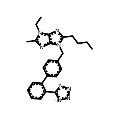 CCCCc1nc2c(nc(C)n2CC)n1Cc1ccc(-c2ccccc2-c2nnn[nH]2)cc1